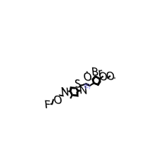 COCOc1ccc(/C=C/c2nc3cc(C)c(N(C)CCOCCF)cc3s2)c(OC)c1Br